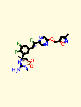 Cc1cc(COc2cnc(/C(F)=C/c3cc(F)c(F)c([C@]4(C)CS(=O)(=O)N(C)C(N)=N4)c3)cn2)on1